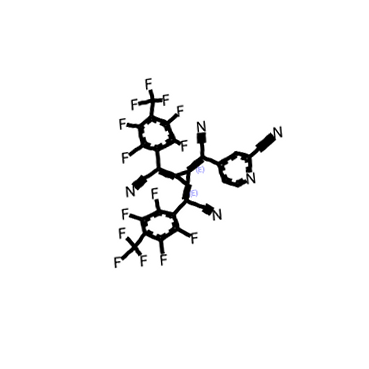 N#CC(=C1C(=C(\C#N)c2ccnc(C#N)c2)/C1=C(\C#N)c1c(F)c(F)c(C(F)(F)F)c(F)c1F)c1c(F)c(F)c(C(F)(F)F)c(F)c1F